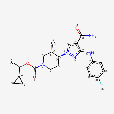 CC(OC(=O)N1CC[C@H](n2cc(C(N)=O)c(Nc3ccc(F)cc3)n2)[C@H](C#N)C1)C1CC1